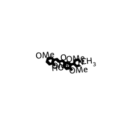 COc1cccc(OC)c1/C=C/C(=O)c1c(O)cc(OC)c(C2CCN(C)CC2)c1OC